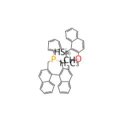 COc1ccc2ccccc2c1[Si@@H](C)c1ccccc1P1Cc2ccc3ccccc3c2-c2c(ccc3ccccc23)C1